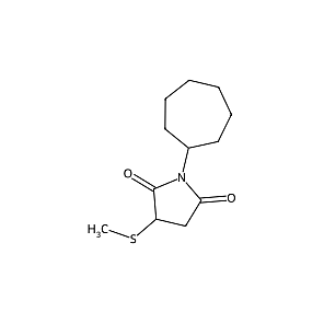 CSC1CC(=O)N(C2CCCCCC2)C1=O